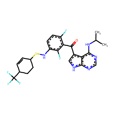 CC(C)Nc1ncnc2[nH]cc(C(=O)c3c(F)ccc(NSC4C=CC(C(F)(F)F)CC4)c3F)c12